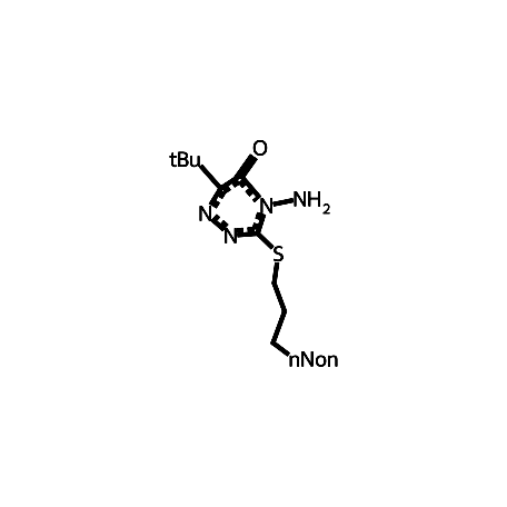 CCCCCCCCCCCCSc1nnc(C(C)(C)C)c(=O)n1N